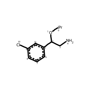 CC(C)OC(CN)c1cccc(Cl)c1